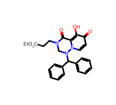 CCOC(=O)CCN1CN(C(c2ccccc2)c2ccccc2)n2ccc(=O)c(O)c2C1=O